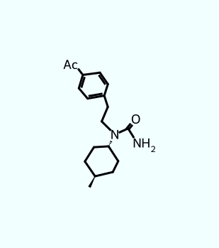 CC(=O)c1ccc(CCN(C(N)=O)[C@H]2CC[C@H](C)CC2)cc1